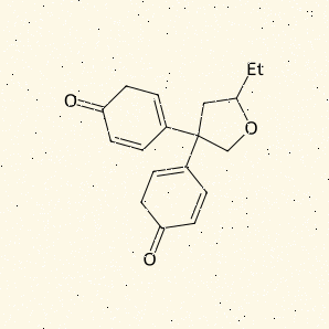 CCC1CC(C2=CCC(=O)C=C2)(C2=CCC(=O)C=C2)CO1